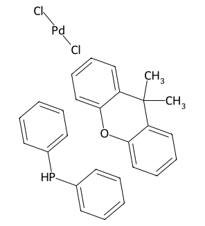 CC1(C)c2ccccc2Oc2ccccc21.[Cl][Pd][Cl].c1ccc(Pc2ccccc2)cc1